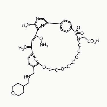 C=C1/C=C(\ON)c2nc(cnc2N)-c2ccc(cc2)S(=O)(=O)N(CC(=O)O)CCOCCOCCOc2cc1ccc2CNCC1CCOCC1